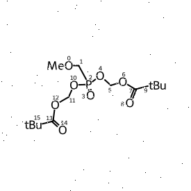 COCP(=O)(OCOC(=O)C(C)(C)C)OCOC(=O)C(C)(C)C